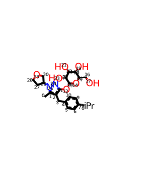 Cc1c(Cc2ccc(C(C)C)cc2)c(O[C@@H]2O[C@H](CO)[C@@H](O)[C@H](O)[C@H]2O)nn1C1CCOC1